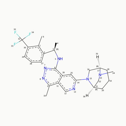 Cc1c([C@@H](C)Nc2nnc(C)c3cnc(N4C[C@H]5CCC[C@@H]4CN5C)cc23)cccc1C(F)(F)F